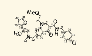 COCCn1cc(C(=O)NCc2ccc(Cl)cc2)c(=O)c2cc(CN(C)C[C@@H](O)c3ccco3)sc21